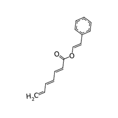 C=CC=CC=CC(=O)OC=Cc1ccccc1